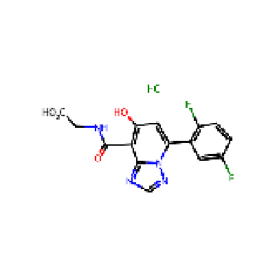 Cl.O=C(O)CNC(=O)c1c(O)cc(-c2cc(F)ccc2F)n2ncnc12